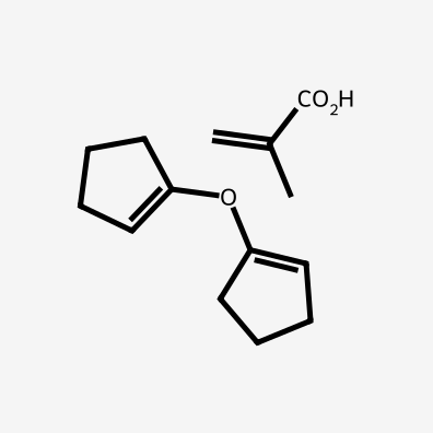 C1=C(OC2=CCCC2)CCC1.C=C(C)C(=O)O